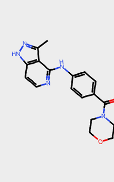 Cc1n[nH]c2ccnc(Nc3ccc(C(=O)N4CCOCC4)cc3)c12